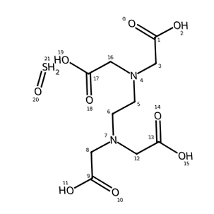 O=C(O)CN(CCN(CC(=O)O)CC(=O)O)CC(=O)O.O=[SH2]